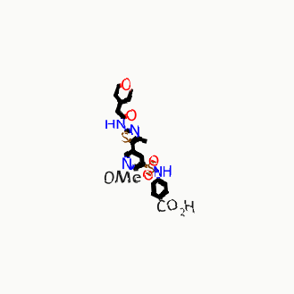 COc1ncc(-c2sc(NC(=O)CC3CCOCC3)nc2C)cc1S(=O)(=O)Nc1ccc(C(=O)O)cc1